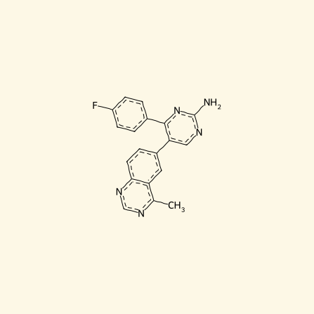 Cc1ncnc2ccc(-c3cnc(N)nc3-c3ccc(F)cc3)cc12